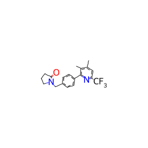 Cc1cc(C(F)(F)F)nc(-c2ccc(CN3CCCC3=O)cc2)c1C